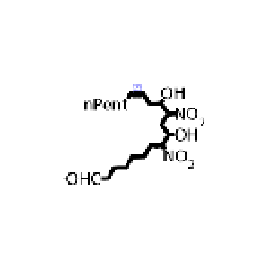 CCCCC/C=C\CC(O)C(CC(O)C(CCCCCC[C]=O)[N+](=O)[O-])[N+](=O)[O-]